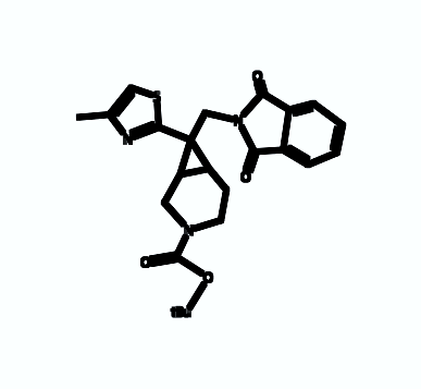 Cc1csc(C2(CN3C(=O)c4ccccc4C3=O)C3CCN(C(=O)OC(C)(C)C)CC32)n1